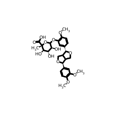 COc1ccc([C@H]2OCC3C2CO[C@H]3c2ccc(OC)c(OC3O[C@@](C)(C(=O)O)[C@H](O)[C@@H](O)[C@@H]3O)c2)cc1OC